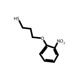 O=[N+]([O-])c1ccccc1OCCCS